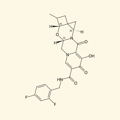 CC1CC23C[C@H]2N2C(=O)c4c(O)c(=O)c(C(=O)NCc5ccc(F)cc5F)cn4C[C@@H]2O[C@H]13